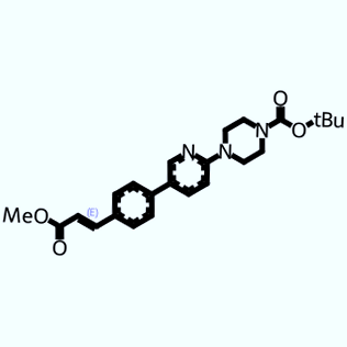 COC(=O)/C=C/c1ccc(-c2ccc(N3CCN(C(=O)OC(C)(C)C)CC3)nc2)cc1